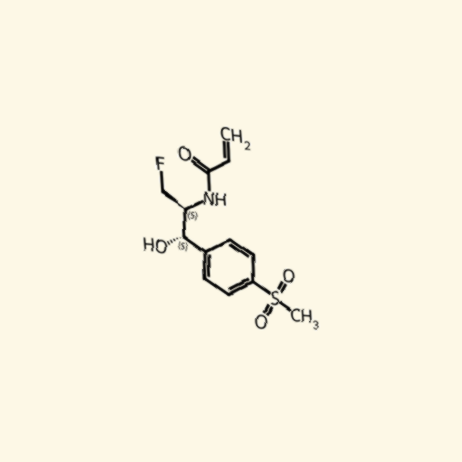 C=CC(=O)N[C@H](CF)[C@@H](O)c1ccc(S(C)(=O)=O)cc1